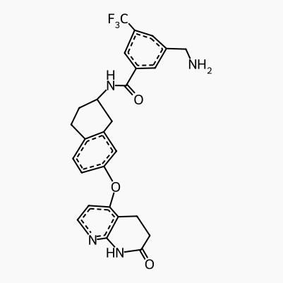 NCc1cc(C(=O)NC2CCc3ccc(Oc4ccnc5c4CCC(=O)N5)cc3C2)cc(C(F)(F)F)c1